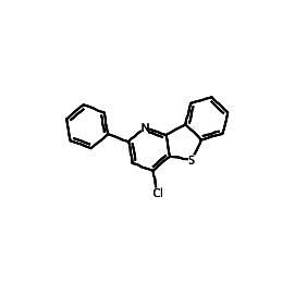 Clc1cc(-c2ccccc2)nc2c1sc1ccccc12